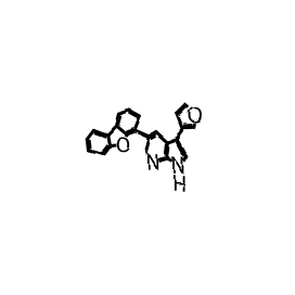 c1ccc2c(c1)oc1c(-c3cnc4[nH]cc(-c5ccoc5)c4c3)cccc12